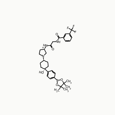 CC1(C)OB(c2ccc([C@]3(O)CC[C@H](N4CC[C@@H](NC(=O)CNC(=O)c5cccc(C(F)(F)F)c5)C4)CC3)cc2)OC1(C)C